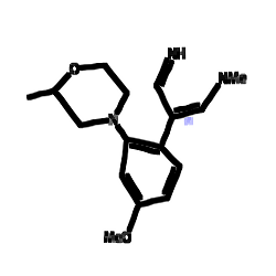 CN/C=C(\C=N)c1ccc(OC)cc1N1CCOC(C)C1